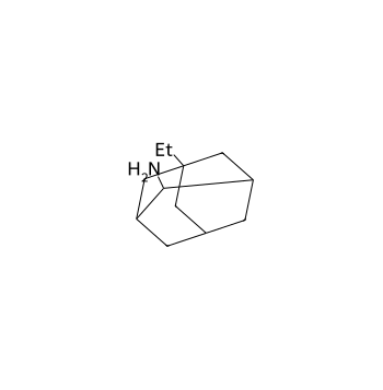 CCC12CC3CC(C1)C(N)C(C3)C2